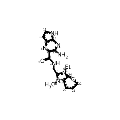 CCn1c(CNC(=O)c2nc3cc[nH]c3nc2N)[n+](C)c2ccccc21